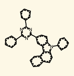 c1ccc(-c2nc(-c3ccccc3)nc(-c3ccc4c(c3)c3c5ccccc5ccc3n4-c3ccccc3)n2)cc1